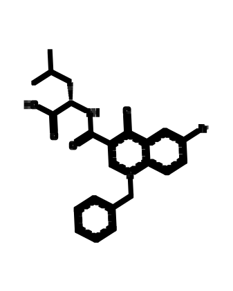 CC(C)C[C@H](NC(=O)c1cn(Cc2ccccc2)c2ccc(Br)cc2c1=O)C(=O)O